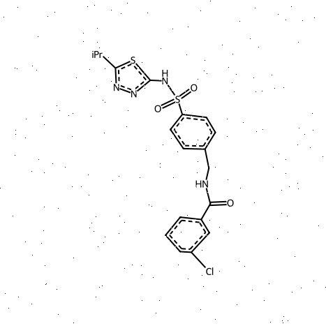 CC(C)c1nnc(NS(=O)(=O)c2ccc(CNC(=O)c3cccc(Cl)c3)cc2)s1